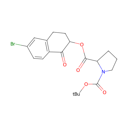 CC(C)(C)OC(=O)N1CCCC1C(=O)OC1CCc2cc(Br)ccc2C1=O